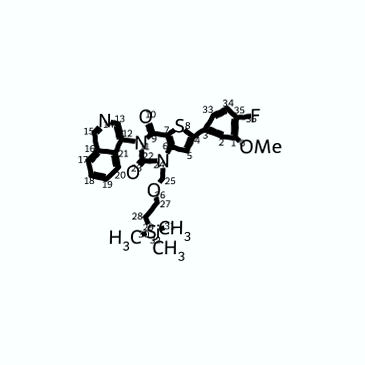 COc1cc(-c2cc3c(s2)c(=O)n(-c2cncc4ccccc24)c(=O)n3COCC[Si](C)(C)C)ccc1F